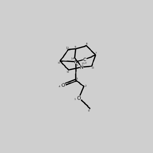 COCC(=O)N1CC2CC3CC1CN(C3)C2